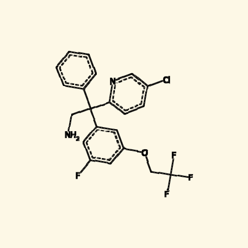 NCC(c1ccccc1)(c1cc(F)cc(OCC(F)(F)F)c1)c1ccc(Cl)cn1